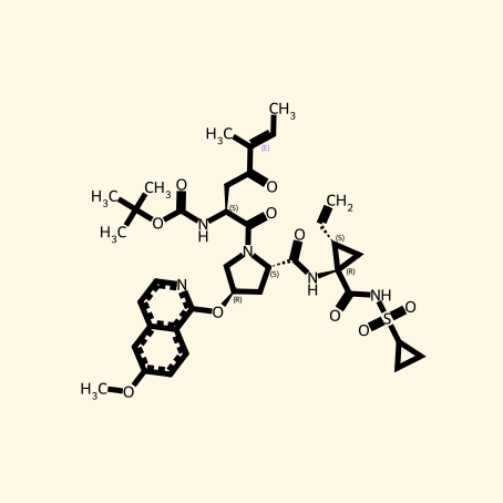 C=C[C@@H]1C[C@]1(NC(=O)[C@@H]1C[C@@H](Oc2nccc3cc(OC)ccc23)CN1C(=O)[C@H](CC(=O)/C(C)=C/C)NC(=O)OC(C)(C)C)C(=O)NS(=O)(=O)C1CC1